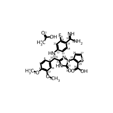 CC(=O)O.COc1ccc([C@H](Nc2ccc(C(=N)N)c(F)c2)c2nn(-c3ccsc3C(=O)O)c(=O)[nH]2)cc1OC